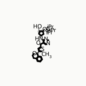 Cc1sc(C(=O)c2cncnc2N[C@@H]2C[C@H](CO)[C@@H](O[Si](C(C)C)(C(C)C)C(C)C)C2)cc1[C@@H]1OCCc2ccccc21